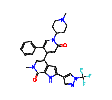 CN1CCC(n2cc(-c3ccccc3)c(-c3cn(C)c(=O)c4[nH]c(-c5cnn(C(F)(F)F)c5)cc34)cc2=O)CC1